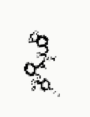 O=C(Cc1ccc2c(c1)OCO2)NC1CC1c1ccccc1OS(=O)(=O)c1ccc(C(F)(F)F)cc1